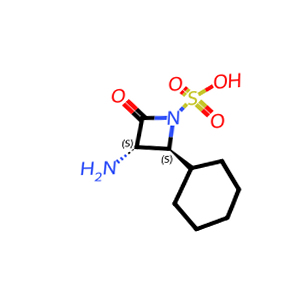 N[C@@H]1C(=O)N(S(=O)(=O)O)[C@H]1C1CCCCC1